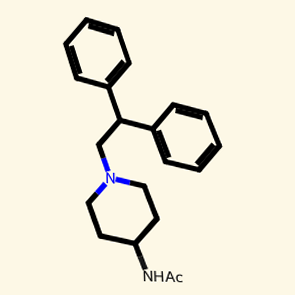 CC(=O)NC1CCN(CC(c2ccccc2)c2ccccc2)CC1